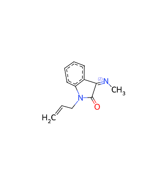 C=CCN1C(=O)/C(=N\C)c2ccccc21